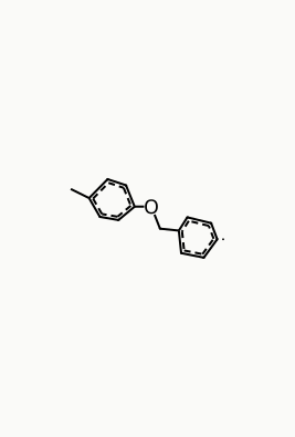 Cc1ccc(OCc2cc[c]cc2)cc1